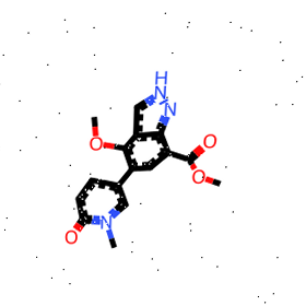 COC(=O)c1cc(-c2ccc(=O)n(C)c2)c(OC)c2c[nH]nc12